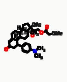 COCC(=O)OCC(=O)[C@@]1(OC(C)=O)CC[C@H]2[C@@H]3CCC4=CC(=O)CC(c5ccc(N(C)C)cc5)C4=C3CC[C@@]21C